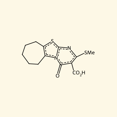 CSc1nc2sc3c(n2c(=O)c1C(=O)O)CCCCC3